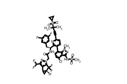 Cn1nc(NS(C)(=O)=O)c2c(Cl)ccc(-c3ccc(C#CC(C)(C)S(=O)(=O)C4CC4)nc3[C@H](Cc3cc(F)cc(F)c3)NC(=O)Cn3nc(C(F)F)c4c3C(F)(F)[C@@H]3CC43)c21